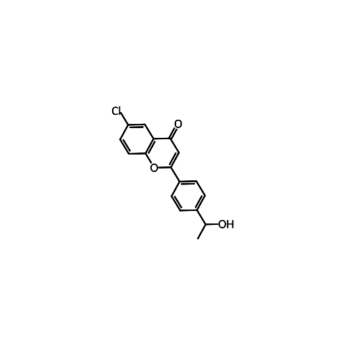 CC(O)c1ccc(-c2cc(=O)c3cc(Cl)ccc3o2)cc1